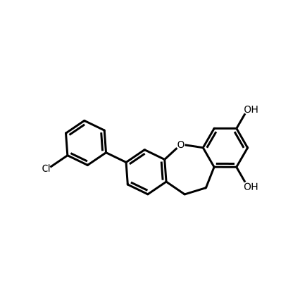 Oc1cc(O)c2c(c1)Oc1cc(-c3cccc(Cl)c3)ccc1CC2